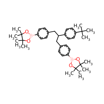 CC(C)(C)c1ccc(C(Cc2ccc(B3OC(C)(C)C(C)(C)O3)cc2)Cc2ccc(B3OC(C)(C)C(C)(C)O3)cc2)cc1